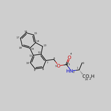 C[C@@H](NC(=O)OCc1cccc2c1Cc1ccccc1-2)C(=O)O